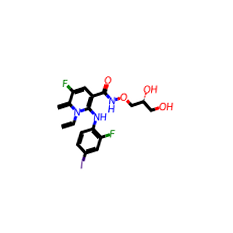 C=CN1C(=C)C(F)=CC(C(=O)NOC[C@H](O)CO)=C1Nc1ccc(I)cc1F